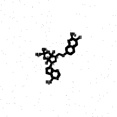 CC1(C)O[C@@H]2[C@@H](COc3ccc4cc(Cl)c(N)nc4c3)C[C@@H](n3ccc4c(N)ncnc43)[C@@H]2O1